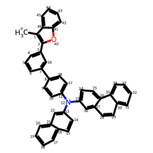 Cc1c(-c2cccc(-c3ccc(N(c4ccc5ccccc5c4)c4ccc5c(ccc6ccccc65)c4)cc3)c2)oc2ccccc12